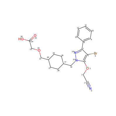 N#CCOc1c(Br)c(-c2ccccc2)nn1CC1CCC(COCC(=O)O)CC1